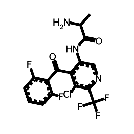 CC(N)C(=O)Nc1cnc(C(F)(F)F)c(Cl)c1C(=O)c1c(F)cccc1F